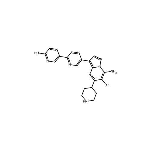 CC(=O)c1c(C2CCNCC2)nc2c(-c3ccc(-c4ccc(O)nc4)nc3)cnn2c1N